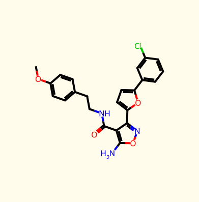 COc1ccc(CCNC(=O)c2c(-c3ccc(-c4cccc(Cl)c4)o3)noc2N)cc1